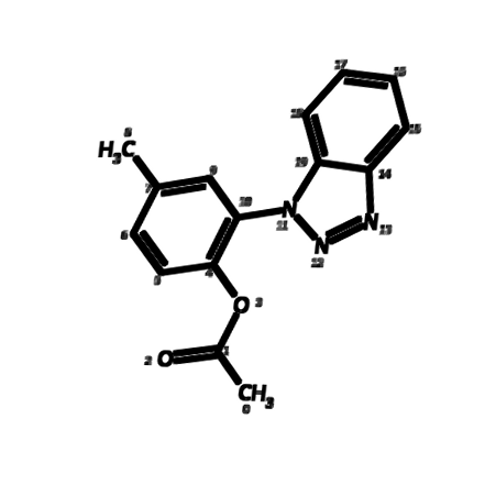 CC(=O)Oc1ccc(C)cc1-n1nnc2ccccc21